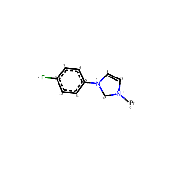 CC(C)N1[C]=CN(c2ccc(F)cc2)C1